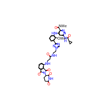 CNC(=O)c1nnc(NC(=O)C2CC2)cc1Nc1cccc(-c2ncn(CCNC(=O)CCNc3cccc4c3C(=O)N(C3CCC(=O)NC3=O)C4=O)n2)c1OC